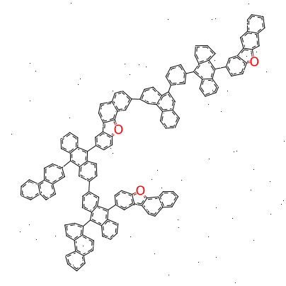 c1cc(-c2c3ccccc3c(-c3ccc4oc5cc6ccccc6cc5c4c3)c3ccccc23)cc(-c2cc3ccccc3c3cc(-c4ccc5ccc6c7cc(-c8c9ccccc9c(-c9ccc%10c(ccc%11ccccc%11%10)c9)c9cc(-c%10ccc%11c(-c%12cccc%13c%12ccc%12ccccc%12%13)c%12ccccc%12c(-c%12ccc%13oc%14c%15ccccc%15ccc%14c%13c%12)c%11c%10)ccc89)ccc7oc6c5c4)ccc23)c1